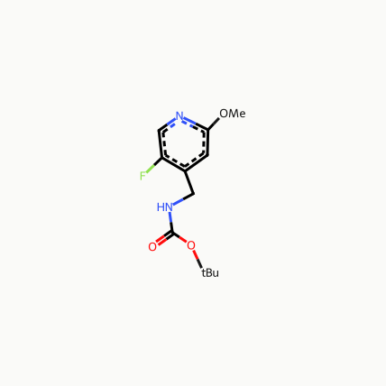 COc1cc(CNC(=O)OC(C)(C)C)c(F)cn1